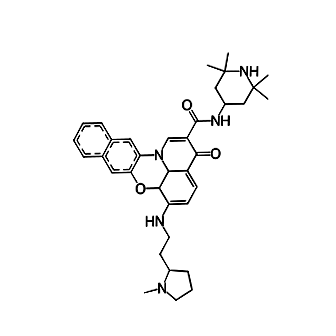 CN1CCCC1CCNC1=CC=C2C(=O)C(C(=O)NC3CC(C)(C)NC(C)(C)C3)=CN3c4cc5ccccc5cc4OC1C23